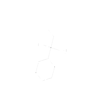 CC(CS)(C(=O)O)C1CCCCC1